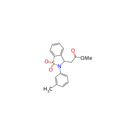 COC(=O)CC1c2ccccc2S(=O)(=O)N1c1cccc(C)c1